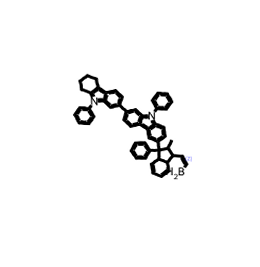 B/C=C\C1C2C=CC=CC2C(c2ccccc2)(c2ccc3c(c2)c2ccc(-c4ccc5c6c(n(-c7ccccc7)c5c4)CCCC6)cc2n3-c2ccccc2)C1C